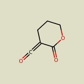 O=C=C1CCCOC1=O